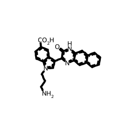 NCCCn1cc(-c2nc3cc4ccccc4cc3[nH]c2=O)c2cc(C(=O)O)ccc21